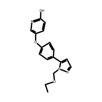 CCOCn1nccc1-c1ccc(Oc2ccc(O)nc2)cc1